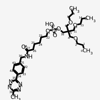 CCCOCC(COCCC)(COCCC)COP(=O)(O)OCCCCCC(=O)NCc1ccc(-c2nnc(C)nn2)cc1